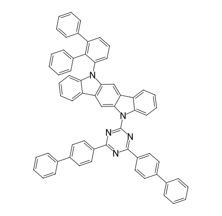 c1ccc(-c2ccc(-c3nc(-c4ccc(-c5ccccc5)cc4)nc(-n4c5ccccc5c5cc6c(cc54)c4ccccc4n6-c4cccc(-c5ccccc5)c4-c4ccccc4)n3)cc2)cc1